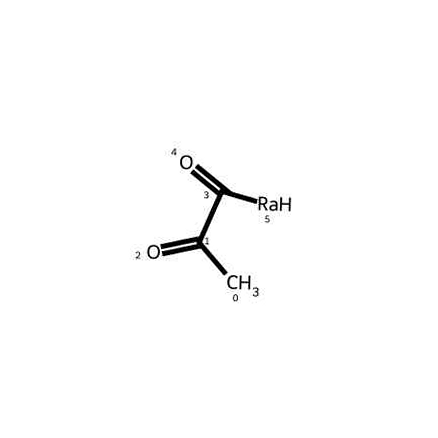 CC(=O)[C](=O)[RaH]